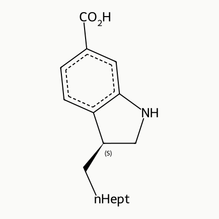 CCCCCCCC[C@@H]1CNc2cc(C(=O)O)ccc21